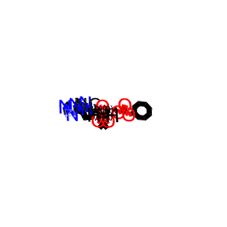 CN(C)/C=N\c1ncnn2c([C@]3(C#N)O[C@H](COC(=O)OC4CCCCCCC4)[C@H]4OC(C)(C)O[C@H]43)ccc12